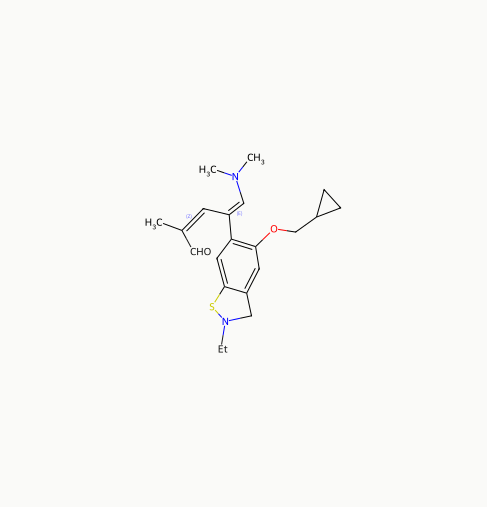 CCN1Cc2cc(OCC3CC3)c(C(/C=C(/C)C=O)=C/N(C)C)cc2S1